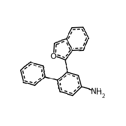 Nc1ccc(-c2ccccc2)c(-c2occ3ccccc23)c1